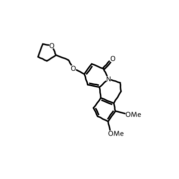 COc1ccc2c(c1OC)CCn1c-2cc(OCC2CCCO2)cc1=O